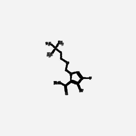 COC(=O)c1c(Br)c(F)cn1COCC[Si](C)(C)C